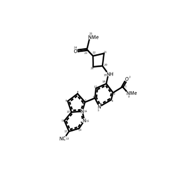 CNC(=O)c1cnc(-c2ccc3cc(C#N)cnn23)cc1NC1CC(C(=O)NC)C1